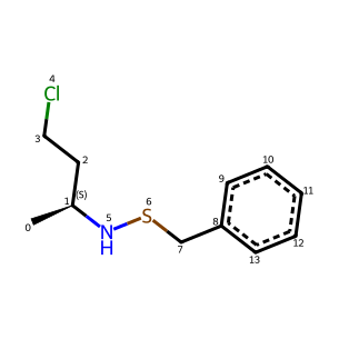 C[C@@H](CCCl)NSCc1ccccc1